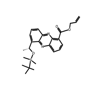 C=CCOC(=O)c1cccc2nc3c([C@@H](C)O[Si](C)(C)C(C)(C)C)cccc3nc12